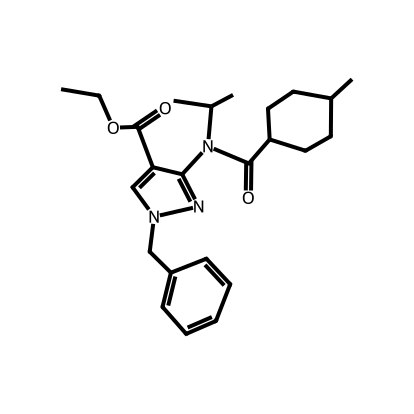 CCOC(=O)c1cn(Cc2ccccc2)nc1N(C(=O)C1CCC(C)CC1)C(C)C